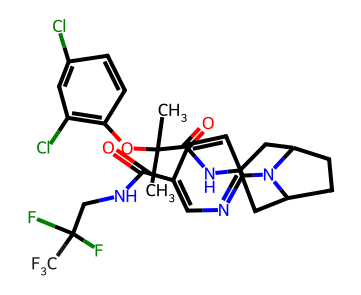 CC(C)(Oc1ccc(Cl)cc1Cl)C(=O)NC1CC2CCC(C1)N2c1ccc(C(=O)NCC(F)(F)C(F)(F)F)cn1